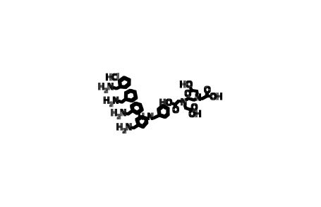 Cl.NCc1ccccc1.NCc1ccccc1.NCc1ccccc1.NCc1ccccc1.NCc1ccccc1.O=C(O)CN(CCN(CC(=O)O)CC(=O)O)CC(=O)O